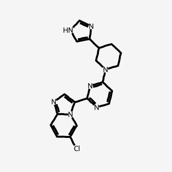 Clc1ccc2ncc(-c3nccc(N4CCCC(c5c[nH]cn5)C4)n3)n2c1